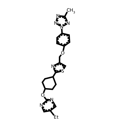 CCc1cnc(OC2CCC(c3nc(COc4ccc(-n5nnc(C)n5)cc4)cs3)CC2)nc1